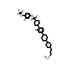 CCCCC1CCC(C2CCC(c3ccc(C4CCC(C(F)(F)Oc5ccc(OC(F)(F)F)c(F)c5)CC4)c(F)c3)CC2)CC1